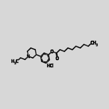 CCCCCCCCCC(=O)Oc1cccc(C2CCCN(CCC)C2)c1.Cl